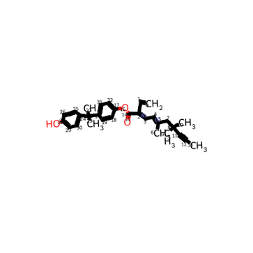 C=C/C(=C\C=C(/C)CC(C)(C)C#CC)C(=O)Oc1ccc(C(C)(C)c2ccc(O)cc2)cc1